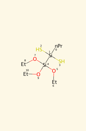 CCC[Si](S)(S)[Si](OCC)(OCC)OCC